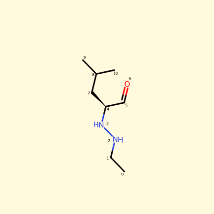 CCNN[C@H](C=O)CC(C)C